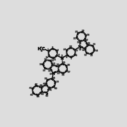 Cc1ccc(N(c2ccc(-n3c4ccccc4c4ccccc43)cc2)c2cccc3c2c2ccccc2n3-c2ccc3sc4ccccc4c3c2)cc1